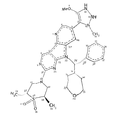 COC1=C(c2cnc3c4cnc(N5C[C@@H](C)S(=O)(=O)[C@H](C)C5)nc4n([C@H](c4ccccc4)C4CCOCC4)c3c2)N(C)NN1